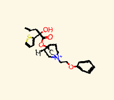 C=CCC(O)(C(=O)O[C@H]1C[N+]2(CCOc3ccccc3)CCC1CC2)c1cccs1